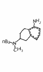 CCCCN(C)C1CCc2c(N)cccc2C1